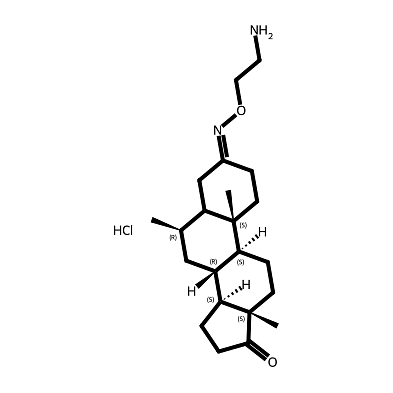 C[C@@H]1C[C@@H]2[C@H](CC[C@]3(C)C(=O)CC[C@@H]23)[C@@]2(C)CCC(=NOCCN)CC12.Cl